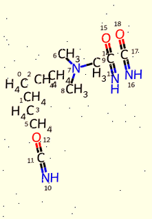 C.C.C.C.C.C.CN(C)C.N=C=O.N=C=O.N=C=O